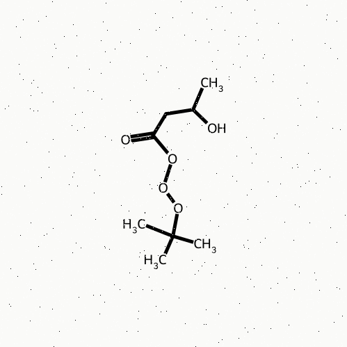 CC(O)CC(=O)OOOC(C)(C)C